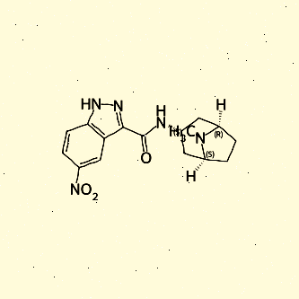 CN1[C@@H]2CC[C@H]1C[C@H](NC(=O)c1n[nH]c3ccc([N+](=O)[O-])cc13)C2